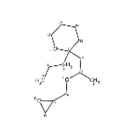 CC[SiH2]C1(CC(C)OCC2CO2)CCCCO1